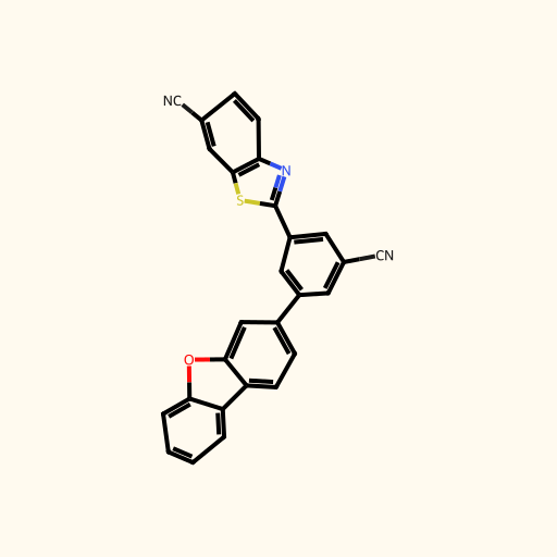 N#Cc1cc(-c2ccc3c(c2)oc2ccccc23)cc(-c2nc3ccc(C#N)cc3s2)c1